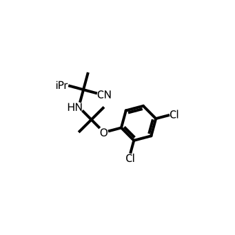 CC(C)C(C)(C#N)NC(C)(C)Oc1ccc(Cl)cc1Cl